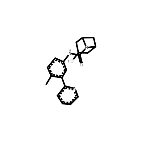 Cc1ccc(NC(=O)N2C3CC(O)CC2C3)cc1-c1ccccn1